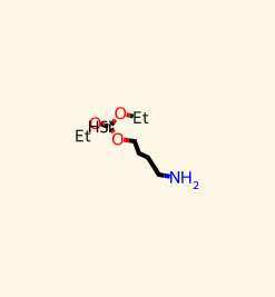 CCO[SiH](OCC)OCCCCN